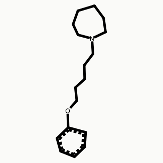 c1ccc(OCCCCCN2CCCCCC2)cc1